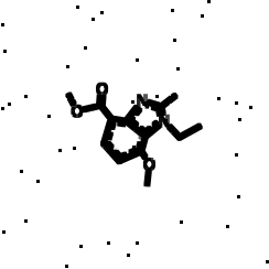 CCn1c(C)nc2c(C(=O)OC)ccc(OC)c21